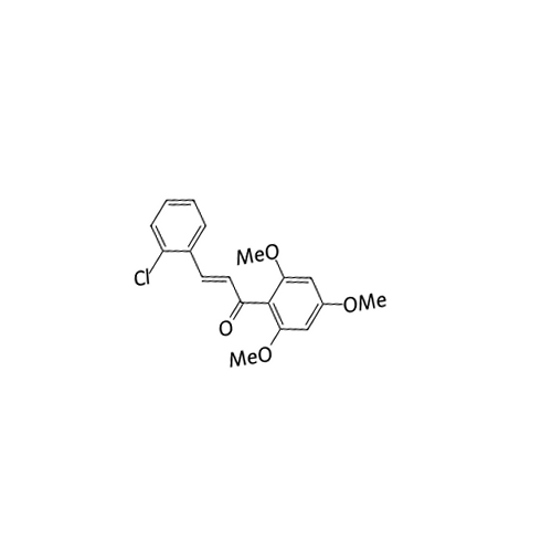 COc1cc(OC)c(C(=O)C=Cc2ccccc2Cl)c(OC)c1